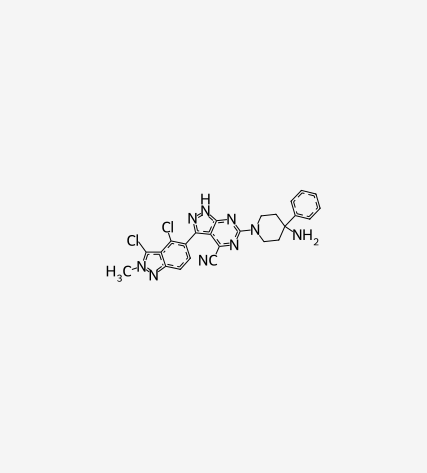 Cn1nc2ccc(-c3n[nH]c4nc(N5CCC(N)(c6ccccc6)CC5)nc(C#N)c34)c(Cl)c2c1Cl